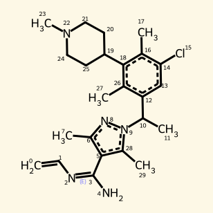 C=C/N=C(/N)c1c(C)nn(C(C)c2cc(Cl)c(C)c(C3CCN(C)CC3)c2C)c1C